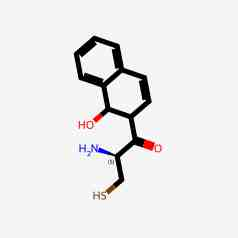 N[C@H](CS)C(=O)C1C=Cc2ccccc2C1O